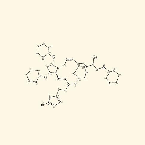 OC(CCC/C=C\C[C@@H]1[C@@H](/C=C/C(CCc2ccc(Br)s2)O[C@H]2CCCCO2)[C@H](OC2CCCCO2)C[C@@H]1OC1CCCCO1)COC1CCCCO1